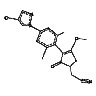 COC1=C(c2c(C)cc(-n3cc(Cl)cn3)cc2C)C(=O)C(CC#N)C1